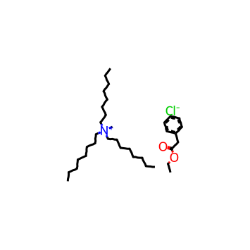 CCCCCCCC[N+](C)(CCCCCCCC)CCCCCCCC.CCOC(=O)Cc1ccccc1.[Cl-]